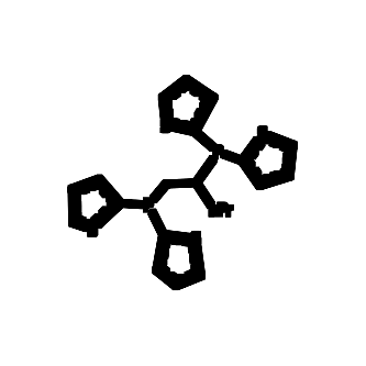 CCCC(CP(c1cccs1)c1cccs1)P(c1cccs1)c1cccs1